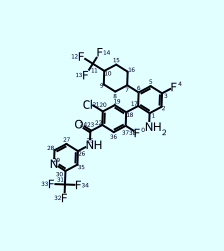 Nc1cc(F)cc(C2CCC(C(F)(F)F)CC2)c1-c1cc(Cl)c(C(=O)Nc2ccnc(C(F)(F)F)c2)cc1F